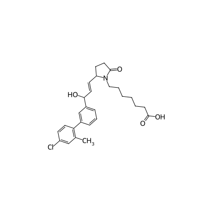 Cc1cc(Cl)ccc1-c1cccc(C(O)C=CC2CCC(=O)N2CCCCCCC(=O)O)c1